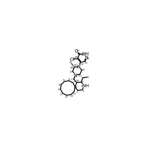 CCC1NCCC2(CCCCCCCCC2)C1CN1CCN(c2cn[nH]c(=O)c2Cl)[C@H](C)C1